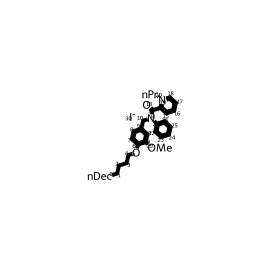 CCCCCCCCCCCCCCOc1ccc(CN(C(=O)c2cccc[n+]2CCC)c2ccccc2)cc1OC.[I-]